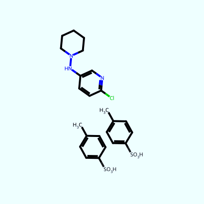 Cc1ccc(S(=O)(=O)O)cc1.Cc1ccc(S(=O)(=O)O)cc1.Clc1ccc(NN2CCCCC2)cn1